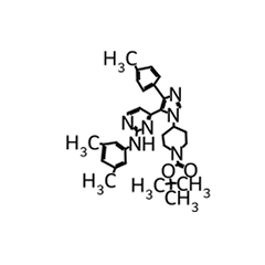 Cc1ccc(-c2ncn(C3CCN(C(=O)OC(C)(C)C)CC3)c2-c2ccnc(Nc3cc(C)cc(C)c3)n2)cc1